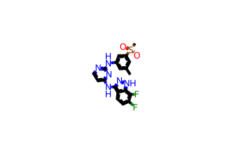 Cc1cc(Nc2nccc(Nc3n[nH]c4c(F)c(F)ccc34)n2)cc(S(C)(=O)=O)c1